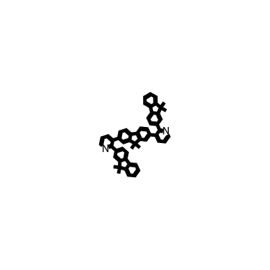 CC1(C)c2cc(-c3cccnc3-c3ccc4c(c3)C(C)(C)c3ccccc3-4)ccc2-c2ccc(-c3cccnc3-c3ccc4c(c3)C(C)(C)c3ccccc3-4)cc21